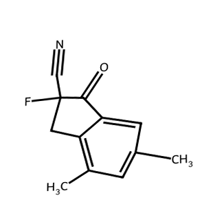 Cc1cc(C)c2c(c1)C(=O)C(F)(C#N)C2